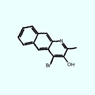 Cc1nc2cc3ccccc3cc2c(Br)c1O